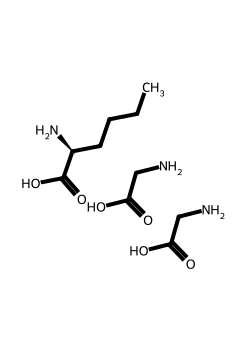 CCCC[C@H](N)C(=O)O.NCC(=O)O.NCC(=O)O